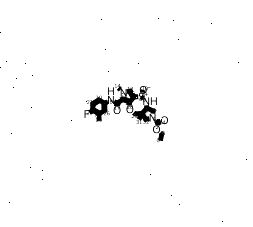 CCOC(=O)N1CC2N[S+]([O-])c3cn(C)c(C(=O)Nc4ccc(F)c(C)c4)c3OCC2(C)C1